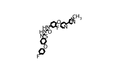 Cn1cc(-c2cc(Oc3ccc(NC(=O)Nc4nc5ccc(Oc6ccc(F)cc6)cc5s4)cc3F)ccn2)cn1